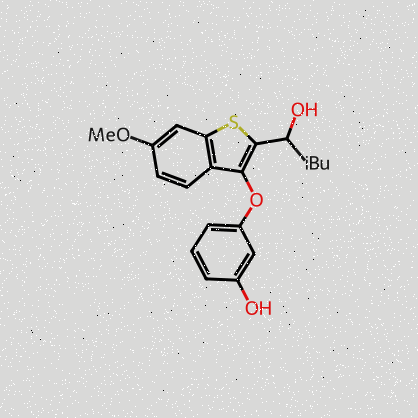 CCC(C)C(O)c1sc2cc(OC)ccc2c1Oc1cccc(O)c1